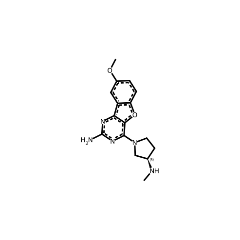 CN[C@@H]1CCN(c2nc(N)nc3c2oc2ccc(OC)cc23)C1